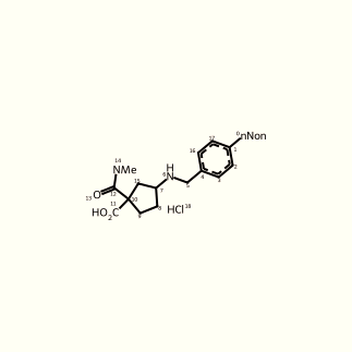 CCCCCCCCCc1ccc(CNC2CCC(C(=O)O)(C(=O)NC)C2)cc1.Cl